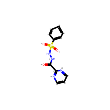 O=C(NNS(=O)(=O)c1ccccc1)c1ncccn1